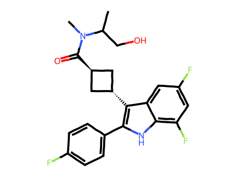 CC(CO)N(C)C(=O)[C@H]1C[C@H](c2c(-c3ccc(F)cc3)[nH]c3c(F)cc(F)cc32)C1